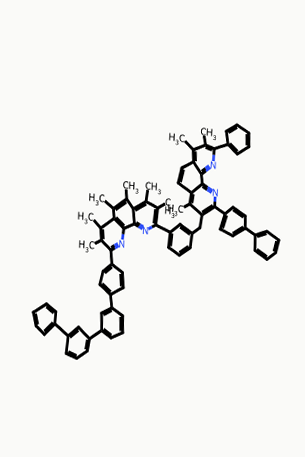 Cc1c(-c2ccccc2)nc2c(ccc3c(C)c(Cc4cccc(-c5nc6c(c(C)c5C)c(C)c(C)c5c(C)c(C)c(-c7ccc(-c8cccc(-c9cccc(-c%10ccccc%10)c9)c8)cc7)nc56)c4)c(-c4ccc(-c5ccccc5)cc4)nc32)c1C